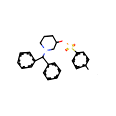 Cc1ccc(S(=O)(=O)OC2CCCN(C(c3ccccc3)c3ccccc3)C2)cc1